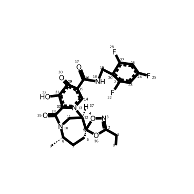 CCC1=NO[C@@]2(CC[C@H](C)N3C[C@H]2n2cc(C(=O)NCc4c(F)cc(F)cc4F)c(=O)c(O)c2C3=O)O1